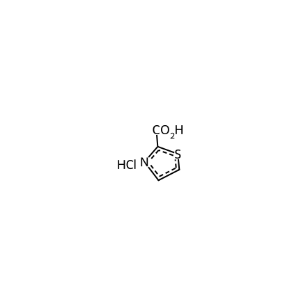 Cl.O=C(O)c1nccs1